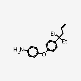 C=CCC(CC)(CC)c1ccc(Oc2ccc(N)cc2)cc1